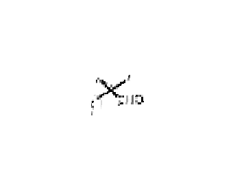 CC(C)(C)C=O.[KH]